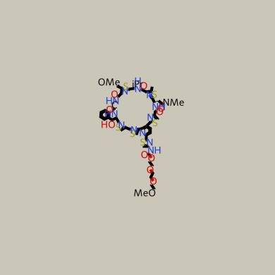 CNC(=O)C[C@@H]1NC(=O)c2csc(n2)-c2ccc(-c3nc(NC(=O)OCCOCCOCCOC)cs3)nc2-c2csc(n2)-c2csc(n2)[C@H]([C@@H](O)c2ccccc2)NC(=O)CNC(=O)c2nc(sc2COC)[C@H](C(C)C)NC(=O)c2nc1sc2C